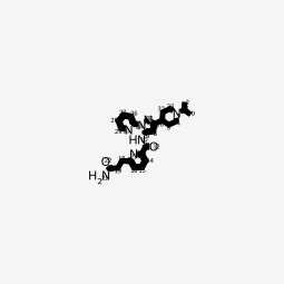 CC(C)N1CCC(c2cc(NC(=O)c3cccc(CCC(N)=O)n3)n(-c3ccccn3)n2)CC1